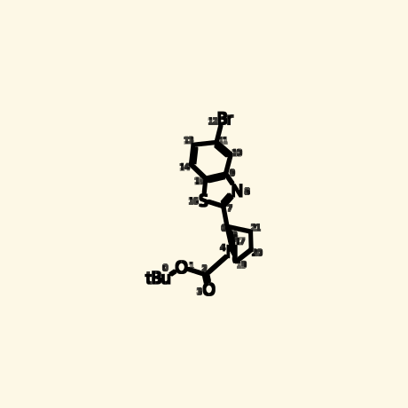 CC(C)(C)OC(=O)N1CC2(c3nc4cc(Br)ccc4s3)CCC1CC2